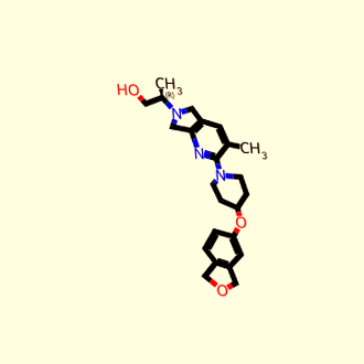 Cc1cc2c(nc1N1CCC(Oc3ccc4c(c3)COC4)CC1)CN([C@H](C)CO)C2